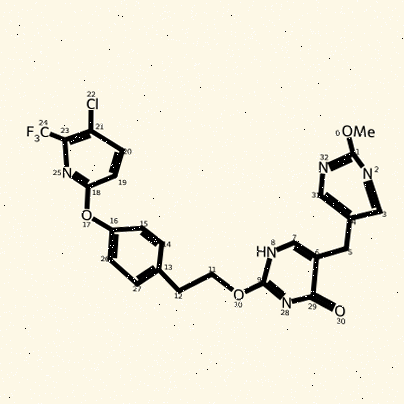 COc1ncc(Cc2c[nH]c(OCCc3ccc(Oc4ccc(Cl)c(C(F)(F)F)n4)cc3)nc2=O)cn1